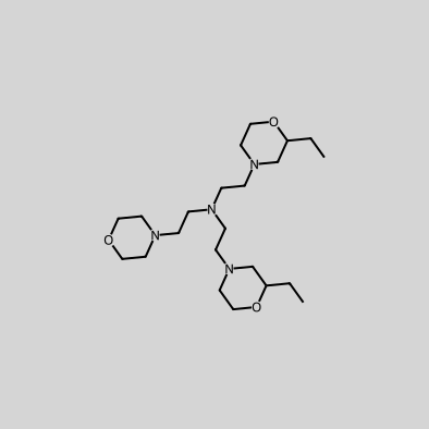 CCC1CN(CCN(CCN2CCOCC2)CCN2CCOC(CC)C2)CCO1